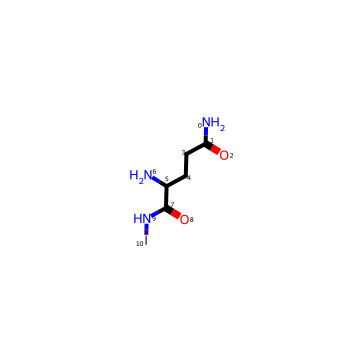 NC(=O)CCC(N)C(=O)NI